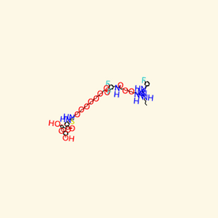 CCCCNc1nc(NCCOCCOCCC(=O)NCc2cc(F)c(OC(=O)CCOCCOCCOCCOCCOCCOCCNC(=S)Nc3ccc4c(c3)C(=O)OC43c4ccc(O)cc4Oc4cc(O)ccc43)c(F)c2)nc(NCc2cccc(F)c2)n1